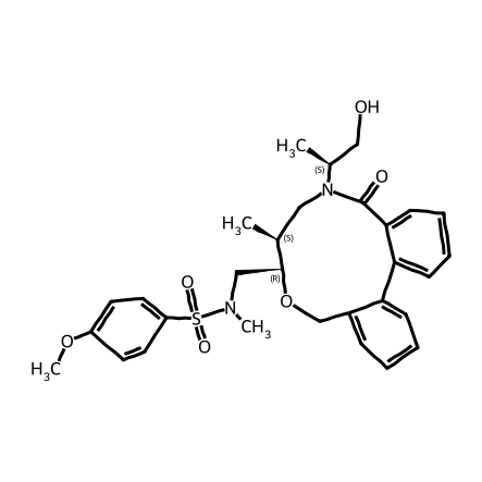 COc1ccc(S(=O)(=O)N(C)C[C@@H]2OCc3ccccc3-c3ccccc3C(=O)N([C@@H](C)CO)C[C@@H]2C)cc1